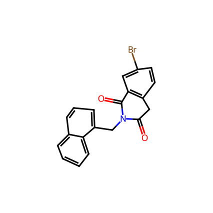 O=C1Cc2ccc(Br)cc2C(=O)N1Cc1cccc2ccccc12